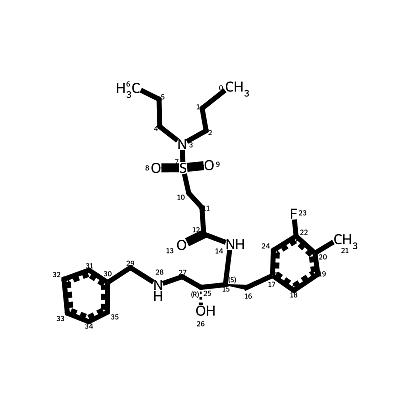 CCCN(CCC)S(=O)(=O)CCC(=O)N[C@@H](Cc1ccc(C)c(F)c1)[C@H](O)CNCc1ccccc1